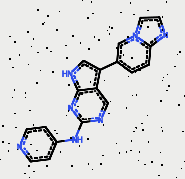 c1cc(Nc2ncc3c(-c4ccc5nccn5c4)c[nH]c3n2)ccn1